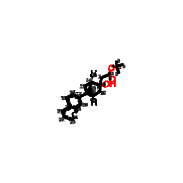 CC(C)(C)OC(=O)C[C@]1(O)C[C@H]2CC[C@@H]1C=C2c1ccc2ccccc2c1